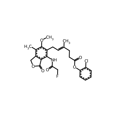 COc1c(C)c2c(c(NC(=O)CF)c1C/C=C(\C)CCC(=O)Oc1ccccc1Cl)C(=O)OC2